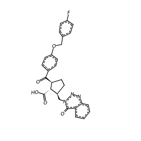 O=C(O)[C@H]1[C@H](Cn2nnc3ccccc3c2=O)CC[C@@H]1C(=O)c1ccc(OCc2ccc(F)cc2)cc1